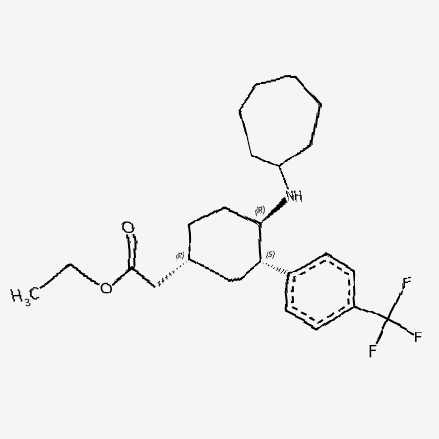 CCOC(=O)C[C@@H]1CC[C@@H](NC2CCCCCC2)[C@H](c2ccc(C(F)(F)F)cc2)C1